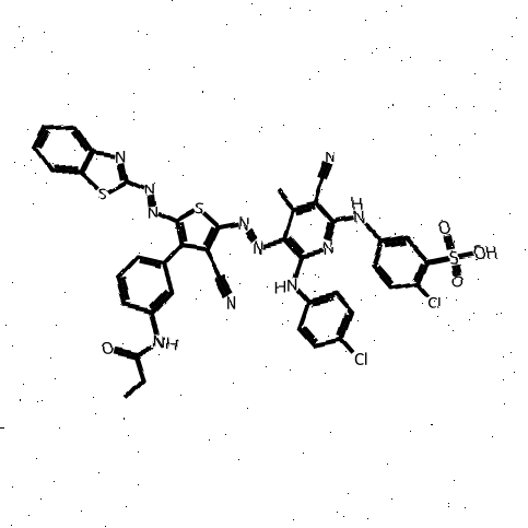 CCC(=O)Nc1cccc(-c2c(N=Nc3nc4ccccc4s3)sc(N=Nc3c(Nc4ccc(Cl)cc4)nc(Nc4ccc(Cl)c(S(=O)(=O)O)c4)c(C#N)c3C)c2C#N)c1